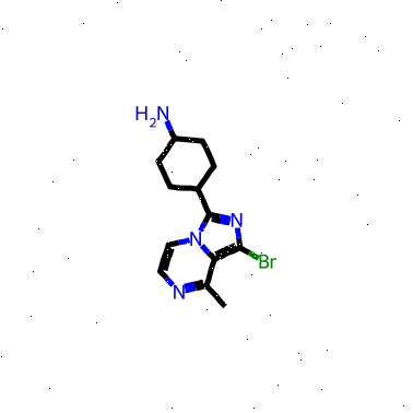 Cc1nccn2c(C3CCC(N)CC3)nc(Br)c12